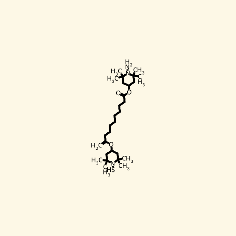 C=C(CCCCCCCCC(=O)OC1CC(C)(C)N(N)C(C)(C)C1)OC1CC(C)(C)N(S)C(C)(C)C1